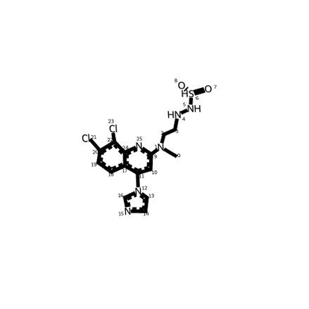 CN(CCNN[SH](=O)=O)c1cc(-n2ccnc2)c2ccc(Cl)c(Cl)c2n1